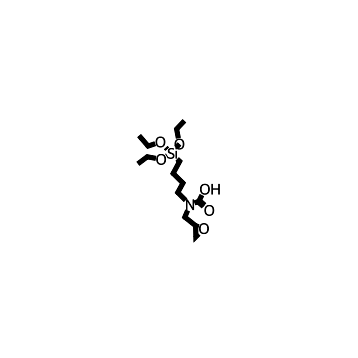 CCO[Si](CCCCN(CC1CO1)C(=O)O)(OCC)OCC